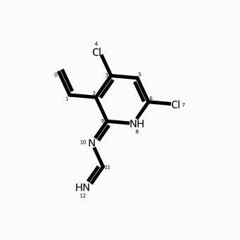 C=Cc1c(Cl)cc(Cl)[nH]/c1=N\C=N